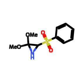 COC1(OC)NC1S(=O)(=O)c1ccccc1